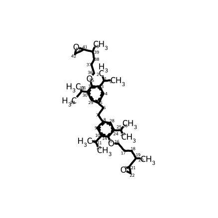 CC(C)c1cc(CCc2cc(C(C)C)c(OCCCC(C)C3CO3)c(C(C)C)c2)cc(C(C)C)c1OCCCC(C)C1CO1